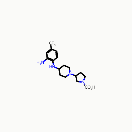 Nc1cc(C(F)(F)F)ccc1NC1CCN(C2CCN(C(=O)O)C2)CC1